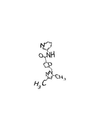 Cc1cc(C)n(Cc2ccc(C(=O)Nc3cccnc3)o2)n1